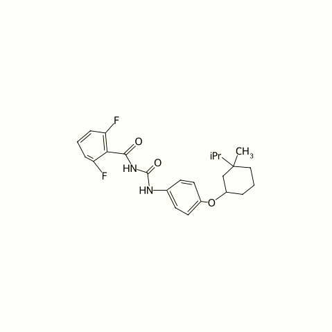 CC(C)C1(C)CCCC(Oc2ccc(NC(=O)NC(=O)c3c(F)cccc3F)cc2)C1